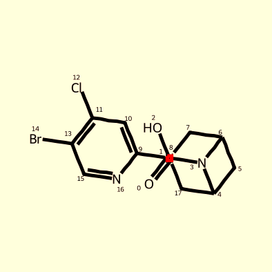 O=C(O)N1C2CC1CN(c1cc(Cl)c(Br)cn1)C2